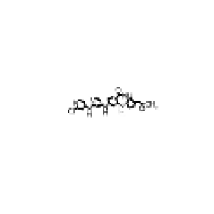 CC(=O)Cc1ccc2c(c1)NC(=O)c1ccc(Nc3ccnc(Nc4ccnc(Cl)c4)c3)cc1N2